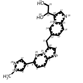 Cn1cc(-c2ccc3ncc(Cc4ccc5ncc(C(O)CO)n5c4)n3n2)cn1